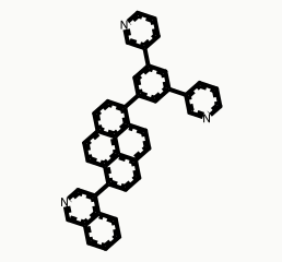 c1cncc(-c2cc(-c3cccnc3)cc(-c3ccc4ccc5c(-c6cncc7ccccc67)ccc6ccc3c4c65)c2)c1